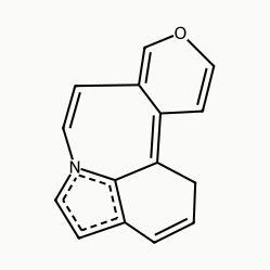 C1=Cc2ccn3c2C(=C2C=COC=C2C=C3)C1